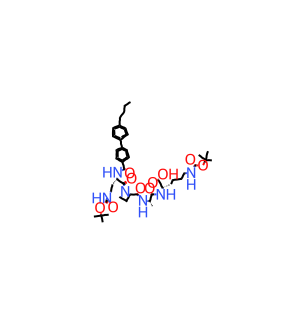 CCCCc1ccc(-c2ccc(C(=O)N[C@@H](CCNC(=O)OC(C)(C)C)C(=O)N3CCC3C(=O)N[C@@H](C)C(=O)N[C@@H](CCCCNC(=O)OC(C)(C)C)C(=O)O)cc2)cc1